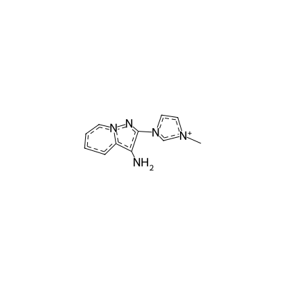 C[n+]1ccn(-c2nn3ccccc3c2N)c1